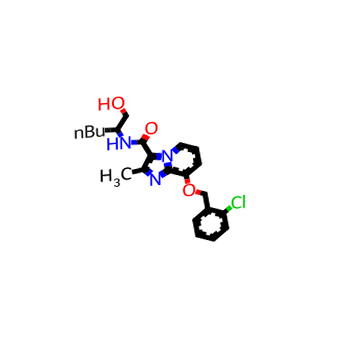 CCCCC(CO)NC(=O)c1c(C)nc2c(OCc3ccccc3Cl)cccn12